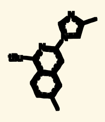 Cc1ccc2c(C(C)(C)C)nc(-n3cnc(C)c3)cc2c1